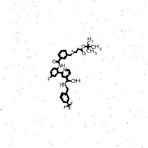 CC(C)(C)OC(=O)CCSCc1cccc(C(=O)Nc2ccc(F)cc2-c2cc(C(O)NCc3cccc(C(F)(F)F)c3)ccn2)c1